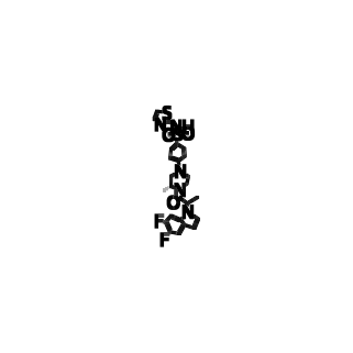 CC(C(=O)N1CCN(c2ccc(S(=O)(=O)Nc3nccs3)cc2)C[C@H]1C)n1ccc2cc(F)c(F)cc21